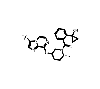 C[C@@H]1CC[C@@H](Oc2nccn3c(C(F)(F)F)cnc23)CN1C(=O)c1ccccc1C1(C#N)CC1